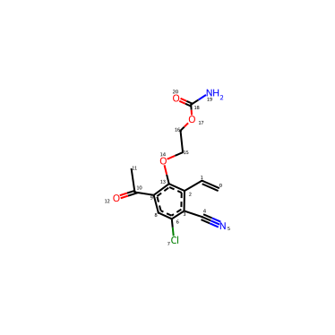 C=Cc1c(C#N)c(Cl)cc(C(C)=O)c1OCCOC(N)=O